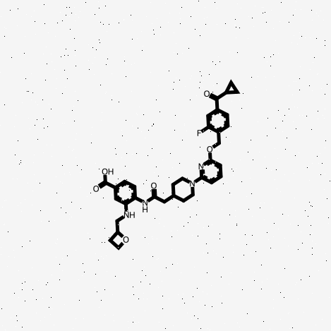 O=C(CC1CCN(c2cccc(OCc3ccc(C(=O)C4CC4)cc3F)n2)CC1)Nc1ccc(C(=O)O)cc1NCC1CCO1